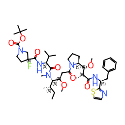 CC[C@H](C)[C@@H]([C@@H](CC(=O)N1CCC[C@H]1[C@H](OC)[C@@H](C)C(=O)N[C@@H](Cc1ccccc1)c1nccs1)OC)N(C)C(=O)[C@@H](NC(=O)[C@]1(F)CCN(C(=O)OC(C)(C)C)C1)C(C)C